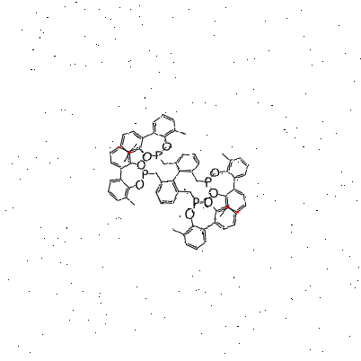 Cc1cccc2c1op(Cc1cccc(Cp3oc4c(C)cccc4c4cccc(C)c4o3)c1-c1c(Cp3oc4c(C)cccc4c4cccc(C)c4o3)cccc1Cp1oc3c(C)cccc3c3cccc(C)c3o1)oc1ccccc12